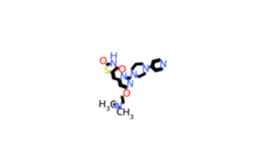 CN(C)CCOc1cc(C=C2SC(=O)NC2=O)nc(N2CCCN(c3ccncc3)CC2)n1